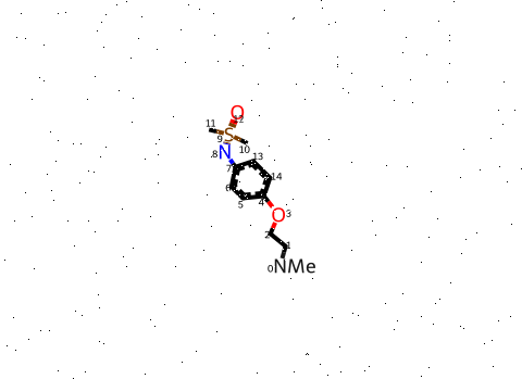 CNCCOc1ccc(N=S(C)(C)=O)cc1